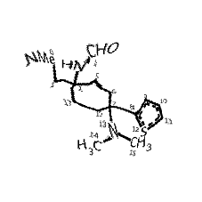 CNCC1(NC=O)CCC(c2cccs2)(N(C)C)CC1